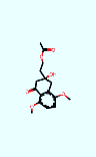 COc1ccc(OC)c2c1CC(O)(CCOC(C)=O)CC2=O